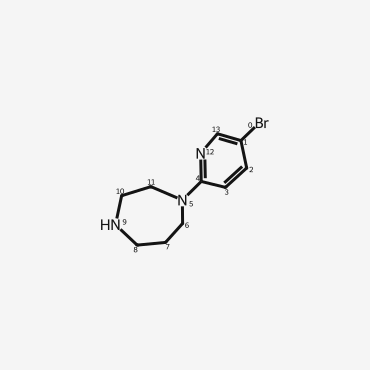 Brc1ccc(N2CCCNCC2)nc1